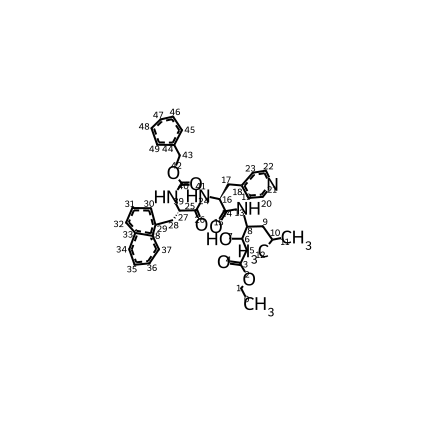 CCOC(=O)CC(O)C(CC(C)C)NC(=O)[C@H](Cc1ccncc1)NC(=O)[C@H](Cc1cccc2ccccc12)NC(=O)OCc1ccccc1